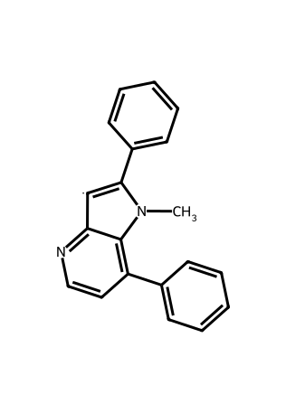 Cn1c(-c2ccccc2)[c]c2nccc(-c3ccccc3)c21